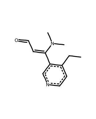 CCc1ccncc1C(=CC=O)N(C)C